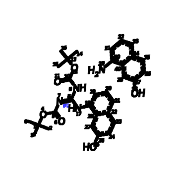 CC(C)(C)OC(=O)/N=C(/NC(=O)OC(C)(C)C)Nc1cccc2ccc(O)cc12.Nc1cccc2ccc(O)cc12